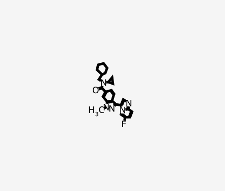 Cn1nc(-c2cnc3ccc(F)cn23)c2ccc(C(=O)N(CC3CCCCC3)C3CC3)cc21